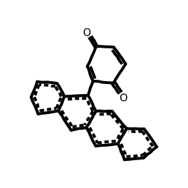 O=C1C=CC(=O)C(c2c3ccccc3cc3cc4ccccc4cc23)=C1